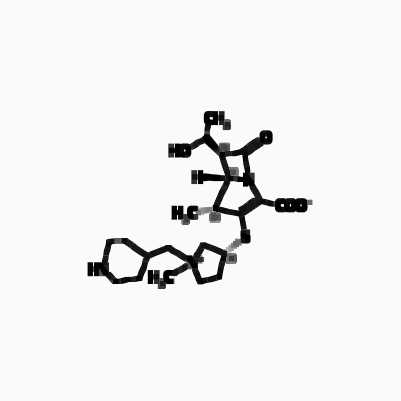 CC(O)[C@H]1C(=O)N2C(C(=O)[O-])=C(S[C@@H]3CC[N+](C)(CC4CCNCC4)C3)[C@H](C)[C@H]12